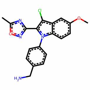 COc1ccc2c(c1)c(Cl)c(-c1noc(C)n1)n2-c1ccc(CN)cc1